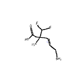 NC/C=C/C(N)(C(=O)O)C(F)F